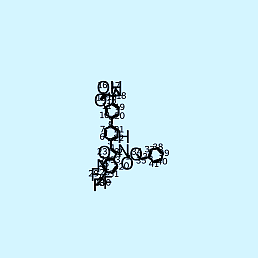 O=C(Nc1c(-c2ccc(-c3ccc(C4(C(=O)O)CC4)cc3)cc2)oc2nc(C(F)(F)F)ccc12)OCc1ccccc1